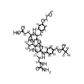 COCCOc1ccc(C[C@H](NC(=O)CCC(=O)O)C(=O)N[C@H](C(=O)N[C@@H](CCCNC(N)=O)C(=O)Nc2ccc(COC(=O)C(C)(C)C)cc2)C(C)C)cc1